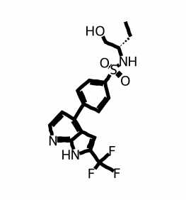 CC[C@@H](CO)NS(=O)(=O)c1ccc(-c2ccnc3[nH]c(C(F)(F)F)cc23)cc1